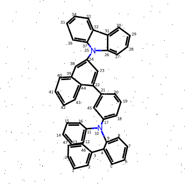 c1ccc(-c2ccccc2N(c2ccccc2)c2cccc(-c3cc(-n4c5ccccc5c5ccccc54)cc4ccccc34)c2)cc1